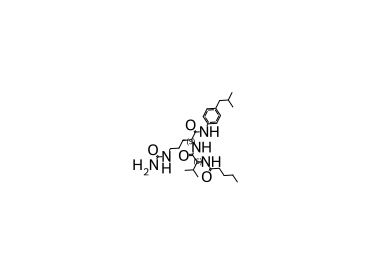 CCCCC(=O)N[C@H](C(=O)N[C@@H](CCCNC(N)=O)C(=O)Nc1ccc(CC(C)C)cc1)C(C)C